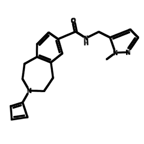 Cn1nccc1CNC(=O)c1ccc2c(c1)CCN(C1=CC=C1)CC2